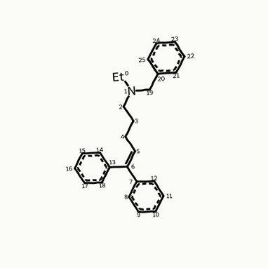 CCN(CCCC=C(c1ccccc1)c1ccccc1)Cc1ccccc1